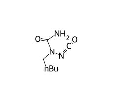 CCCCCN(N=C=O)C(N)=O